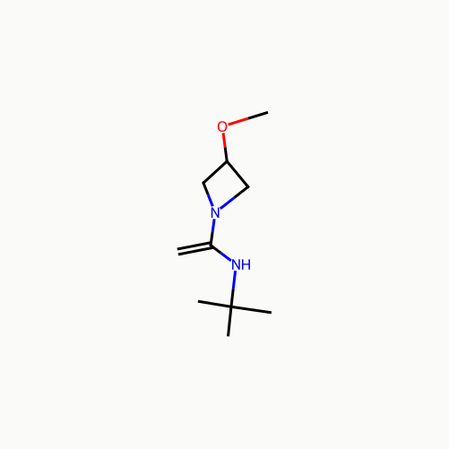 C=C(NC(C)(C)C)N1CC(OC)C1